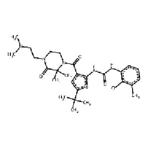 Cc1cccc(NC(=O)Nc2sc(C(C)(C)C)cc2C(=O)N2CCN(CCN(C)C)C(=O)C2(C)C)c1Cl